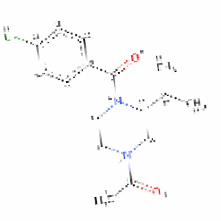 CC(=O)N1CCN(C(=O)c2ccc(Cl)cc2)[C@H](C(C)C)C1